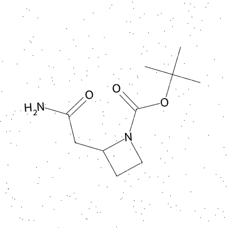 CC(C)(C)OC(=O)N1CCC1CC(N)=O